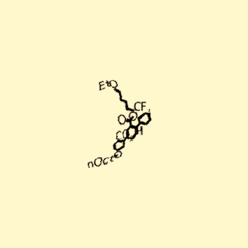 CCCCCCCCOc1ccc(C(=O)O)c(-c2ccc(-c3ccccc3)c(C(=O)OC(CCCCCOCC)C(F)(F)F)c2)c1